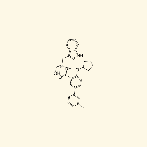 Cc1cccc(-c2ccc(OC3CCCC3)c(C(=O)N[C@@H](CO)Cc3c[nH]c4ccccc34)c2)c1